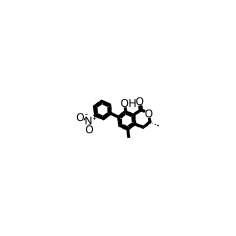 Cc1cc(-c2cccc([N+](=O)[O-])c2)c(O)c2c1C[C@@H](C)OC2=O